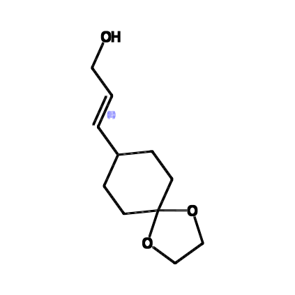 OC/C=C/C1CCC2(CC1)OCCO2